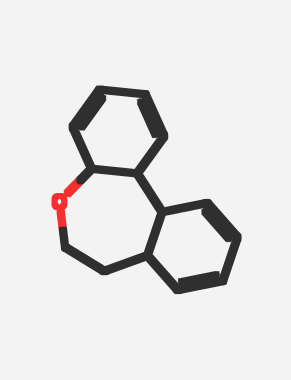 C1=CC2CCOC3C=CC=CC3C2C=C1